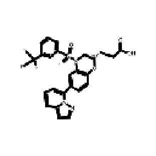 O=C(O)CC[C@H]1CN(S(=O)(=O)c2cccc(C(F)(F)F)c2)c2cc(-c3cccc4ccnn34)ccc2O1